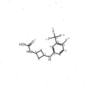 O=C(O)NC1CC(Nc2ccc(F)c(C(F)(F)F)c2)C1